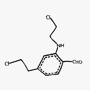 O=[C]c1ccc(CCCl)cc1NCCCl